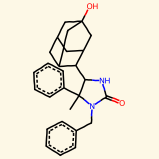 CC1(c2ccccc2)C(C2C3CC4CC2CC(O)(C4)C3)NC(=O)N1Cc1ccccc1